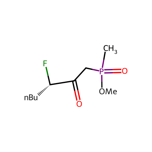 CCCC[C@H](F)C(=O)CP(C)(=O)OC